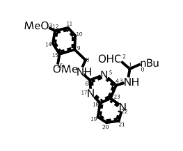 CCCCC(C=O)Nc1nc(NCc2ccc(OC)cc2OC)nc2cccnc12